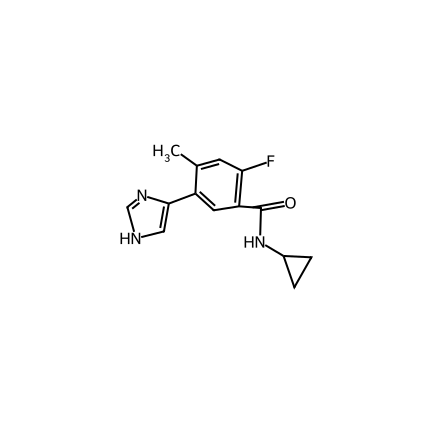 Cc1cc(F)c(C(=O)NC2CC2)cc1-c1c[nH]cn1